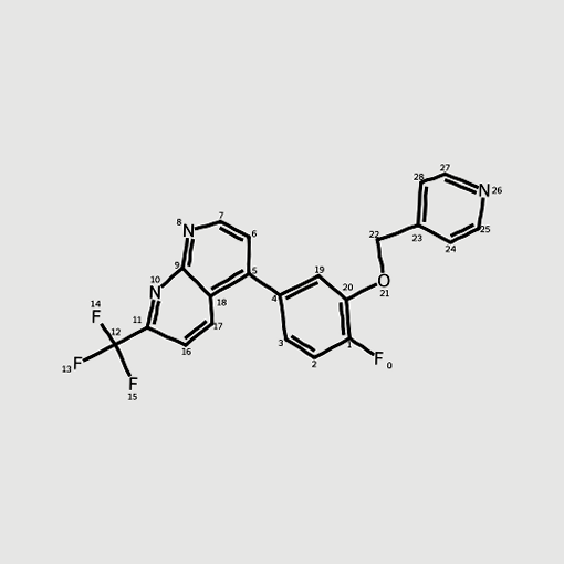 Fc1ccc(-c2ccnc3nc(C(F)(F)F)ccc23)cc1OCc1ccncc1